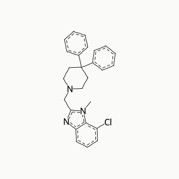 Cn1c(CN2CCC(c3ccccc3)(c3ccccc3)CC2)nc2cccc(Cl)c21